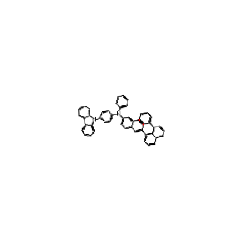 c1ccc(-c2cccc3cccc(-c4ccc5cc(N(c6ccccc6)c6ccc(-n7c8ccccc8c8ccccc87)cc6)ccc5c4)c23)cc1